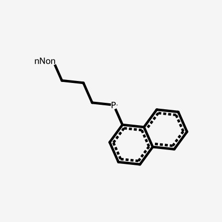 CCCCCCCCCCCC[P]c1cccc2ccccc12